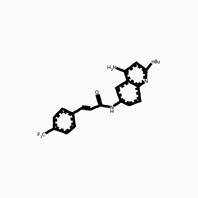 CCCCc1cc(N)c2cc(NC(=O)C=Cc3ccc(C(F)(F)F)cc3)ccc2n1